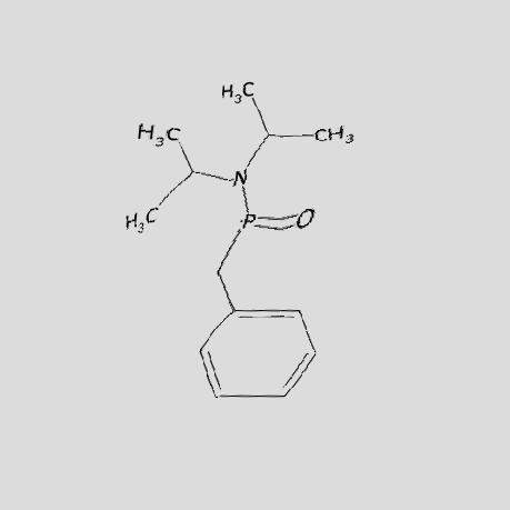 CC(C)N(C(C)C)[P](=O)Cc1ccccc1